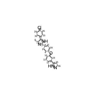 Cc1nc(-c2ccc(Oc3cccc(-c4ccn[nH]4)c3)cc2)[nH]c1-c1ccc(Cl)cc1